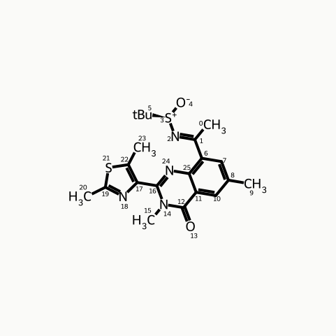 CC(=N[S@+]([O-])C(C)(C)C)c1cc(C)cc2c(=O)n(C)c(-c3nc(C)sc3C)nc12